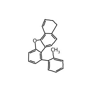 Cc1ccccc1-c1cccc2oc3c4c(ccc3c12)CCC=C4